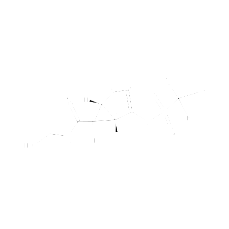 CCOC(=O)[C@@]1(F)[C@@H]2CC=C(OS(=O)(=O)C(F)(F)F)[C@@H]21